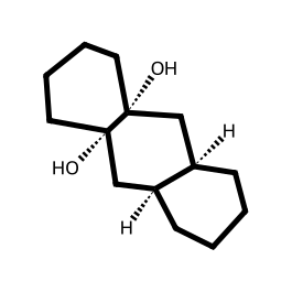 O[C@@]12CCCC[C@]1(O)C[C@@H]1CCCC[C@@H]1C2